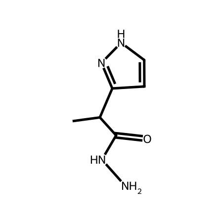 CC(C(=O)NN)c1cc[nH]n1